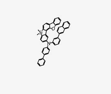 C[Si]1(C)c2ccc(N(c3ccc(-c4ccccc4)cc3)c3cccc(-c4ccc5ccccc5c4)c3)cc2-c2c1ccc1c2oc2ccccc21